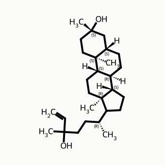 C=CC(C)(O)CC[C@@H](C)C1CC[C@H]2[C@@H]3CC[C@H]4C[C@@](C)(O)CC[C@]4(C)[C@H]3CC[C@]12C